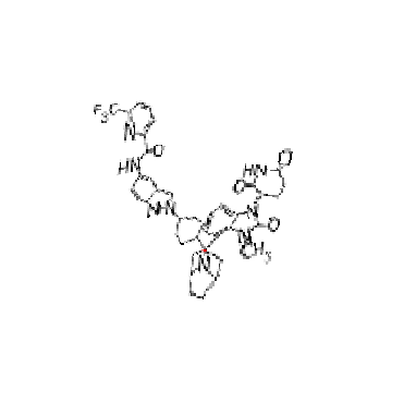 Cn1c(=O)n(C2CCC(=O)NC2=O)c2cccc(C3CC4CCC(C3)N4CC3CCC(n4cc5cc(NC(=O)c6cccc(C(F)(F)F)n6)ccc5n4)CC3)c21